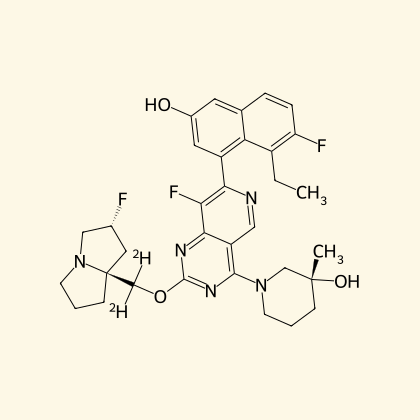 [2H]C([2H])(Oc1nc(N2CCC[C@@](C)(O)C2)c2cnc(-c3cc(O)cc4ccc(F)c(CC)c34)c(F)c2n1)[C@@]12CCCN1C[C@H](F)C2